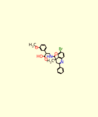 COc1cccc(C(CNC(=O)C2(C)CC(c3ccccc3)=Nc3ccc(Br)cc32)C(=O)O)c1